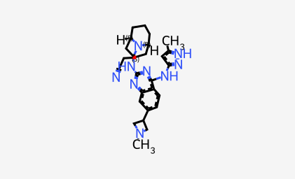 Cc1cc(Nc2nc(N[C@@H]3C[C@H]4CCC[C@@H](C3)N4CCC#N)nc3cc(C4CN(C)C4)ccc23)n[nH]1